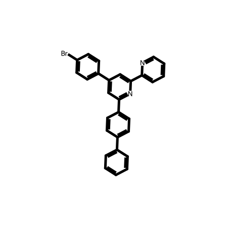 Brc1ccc(-c2cc(-c3ccc(-c4ccccc4)cc3)nc(-c3ccccn3)c2)cc1